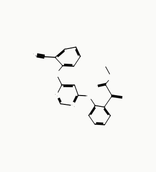 C=C(C(=O)OC)c1ccccc1Oc1cc(Oc2ccccc2C#N)ncn1